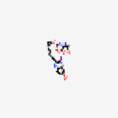 COc1ccc2nc(C#CCCC[C@@H]3C[C@H]3OC(=O)N[C@H](C(=O)O)C(C)(C)C)c(I)nc2c1